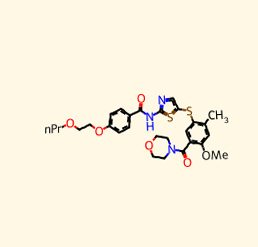 CCCOCCOc1ccc(C(=O)Nc2ncc(Sc3cc(C(=O)N4CCOCC4)c(OC)cc3C)s2)cc1